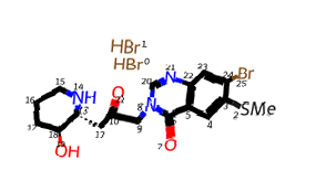 Br.Br.CSc1cc2c(=O)n(CC(=O)C[C@H]3NCCC[C@@H]3O)cnc2cc1Br